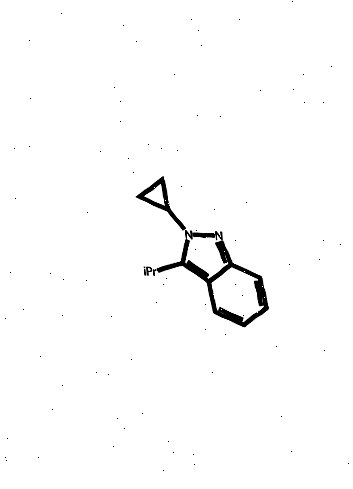 CC(C)c1c2ccccc2nn1C1CC1